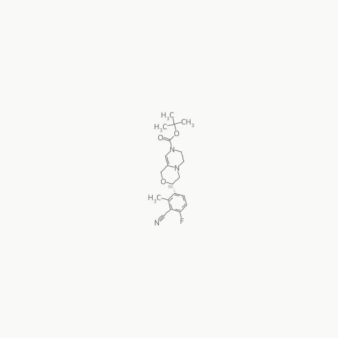 Cc1c([C@H]2CN3CCN(C(=O)OC(C)(C)C)C=C3CO2)ccc(F)c1C#N